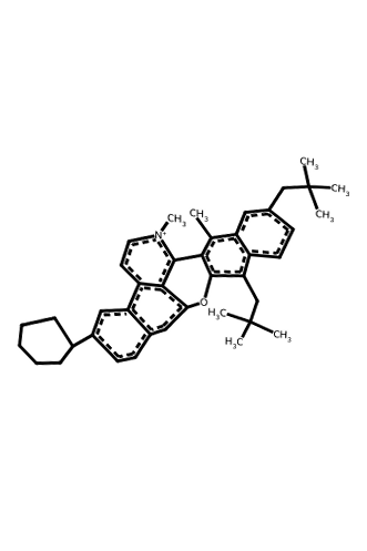 Cc1c2c(c(CC(C)(C)C)c3ccc(CC(C)(C)C)cc13)Oc1cc3ccc(C4CCCCC4)cc3c3cc[n+](C)c-2c13